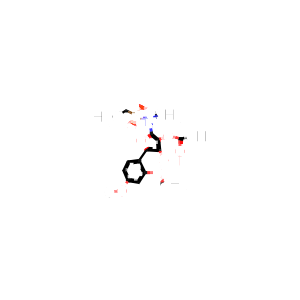 CCS(=O)(=O)N(C)c1oc(-c2ccc(OC)cc2OC)c(O)c1OC(C)=O